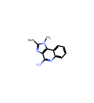 CNc1nc2c(N)nc3ccccc3c2n1C